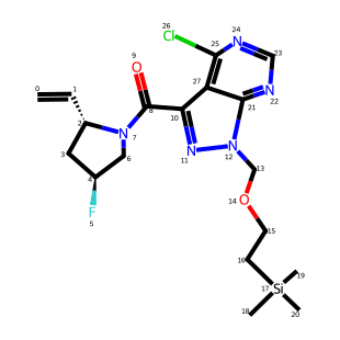 C=C[C@H]1C[C@H](F)CN1C(=O)c1nn(COCC[Si](C)(C)C)c2ncnc(Cl)c12